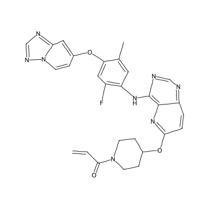 C=CC(=O)N1CCC(Oc2ccc3ncnc(Nc4cc(C)c(Oc5ccn6ncnc6c5)cc4F)c3n2)CC1